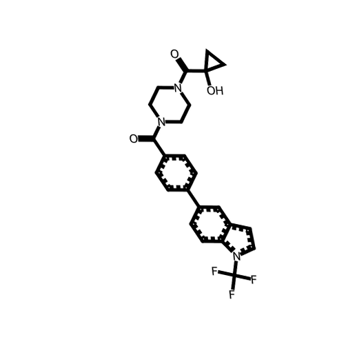 O=C(c1ccc(-c2ccc3c(ccn3C(F)(F)F)c2)cc1)N1CCN(C(=O)C2(O)CC2)CC1